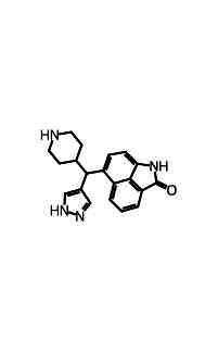 O=C1Nc2ccc(C(c3cn[nH]c3)C3CCNCC3)c3cccc1c23